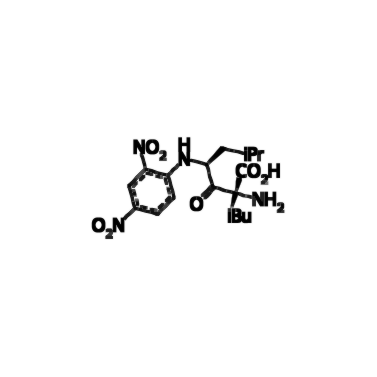 CC[C@H](C)[C@](N)(C(=O)O)C(=O)[C@H](CC(C)C)Nc1ccc([N+](=O)[O-])cc1[N+](=O)[O-]